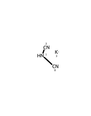 N#CNC#N.[K]